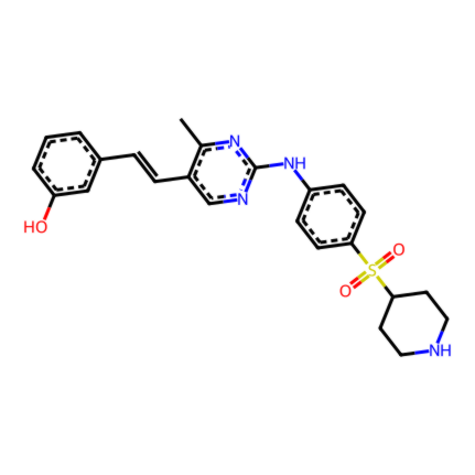 Cc1nc(Nc2ccc(S(=O)(=O)C3CCNCC3)cc2)ncc1/C=C/c1cccc(O)c1